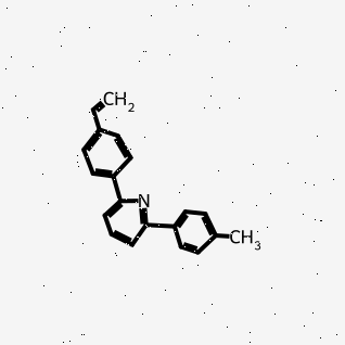 C=Cc1ccc(-c2cccc(-c3ccc(C)cc3)n2)cc1